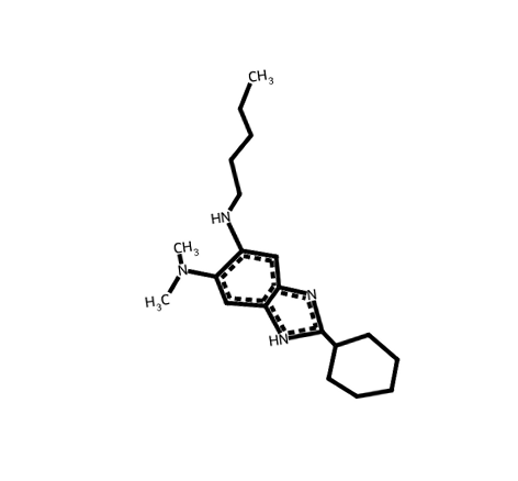 CCCCCNc1cc2nc(C3CCCCC3)[nH]c2cc1N(C)C